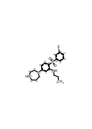 CCCNc1cc(N2CCCNCC2)ccc1S(=O)(=O)c1cccc(F)c1